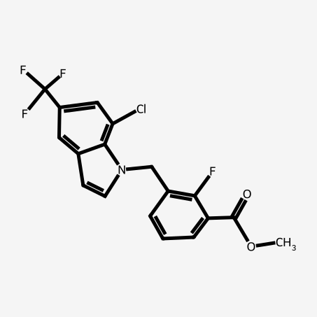 COC(=O)c1cccc(Cn2ccc3cc(C(F)(F)F)cc(Cl)c32)c1F